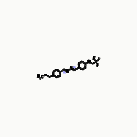 CCCc1ccc(/C=N/N=C/c2ccc(OCC(F)(F)F)cc2)cc1